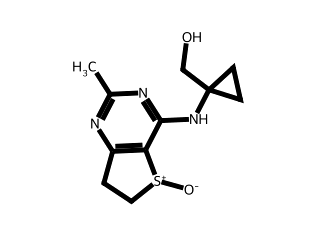 Cc1nc2c(c(NC3(CO)CC3)n1)[S+]([O-])CC2